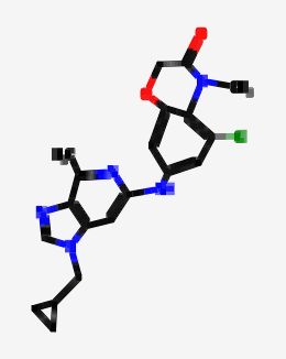 Cc1nc(Nc2cc(Cl)c3c(c2)OCC(=O)N3C)cc2c1ncn2CC1CC1